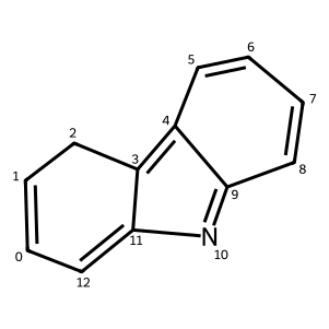 C1=CCC2=c3ccccc3=NC2=C1